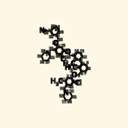 Cc1cc(OCc2cccc(-c3cccc(COc4cc(OCc5cncc(C#N)c5)c(CN5CCCCC5)cc4Cl)c3C)c2C)c(Cl)cc1CN1CCCCC1